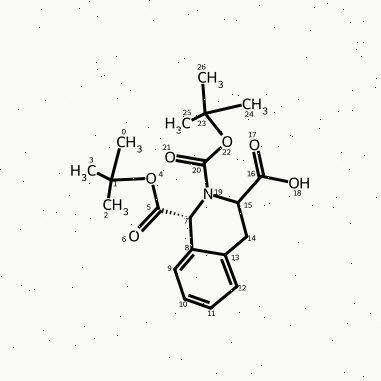 CC(C)(C)OC(=O)[C@H]1c2ccccc2CC(C(=O)O)N1C(=O)OC(C)(C)C